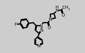 CC(=O)NC1CN(C(=O)Cn2nc(-c3ccncc3)cc2Cc2ccc(F)cc2)C1